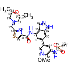 COc1ncc(-c2cc(NC(=O)c3csc(CN4C[C@@H](C)O[C@@H](C)C4)n3)c3cn[nH]c3c2)cc1NS(=O)(=O)C(C)C